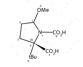 COC1CC[C@@](C(=O)O)(C(C)(C)C)N1C(=O)O